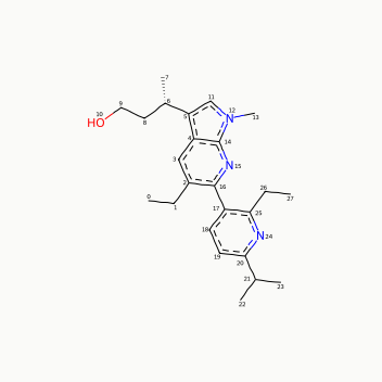 CCc1cc2c([C@@H](C)CCO)cn(C)c2nc1-c1ccc(C(C)C)nc1CC